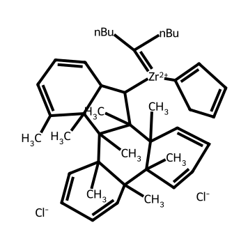 CCCC[C](CCCC)=[Zr+2]([C]1=CC=CC1)[CH]1C2C=CC=C(C)C2(C)C2(C)C3(C)C=CC=CC3(C)C3(C)C=CC=CC3(C)C12C.[Cl-].[Cl-]